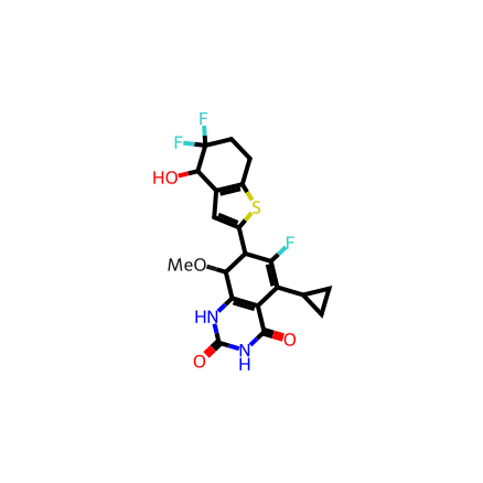 COC1c2[nH]c(=O)[nH]c(=O)c2C(C2CC2)=C(F)C1c1cc2c(s1)CCC(F)(F)C2O